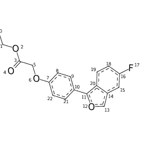 CCOC(=O)COc1ccc(-c2occ3cc(F)ccc23)cc1